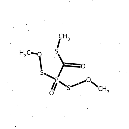 COSP(=O)(SOC)C(=O)SC